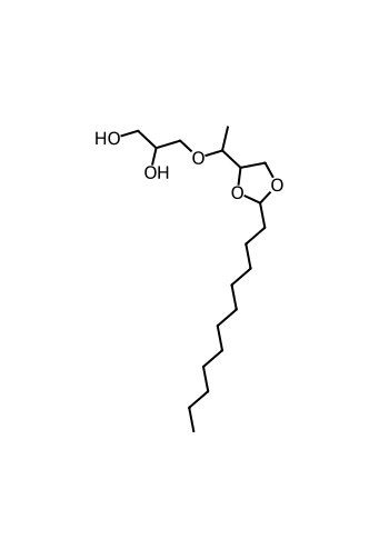 CCCCCCCCCCCC1OCC(C(C)OCC(O)CO)O1